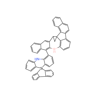 B1c2cccc3c2C2(CC2c2cc4ccccc4c(-c4cccc5c4Nc4ccccc4[Si]54c5ccccc5-c5ccccc54)c21)c1c-3ccc2ccccc12